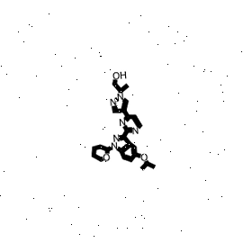 CC(C)Oc1ccc2c(c1)c(-c1nccc(-c3cnn(C(C)CO)c3)n1)nn2C1CCCCO1